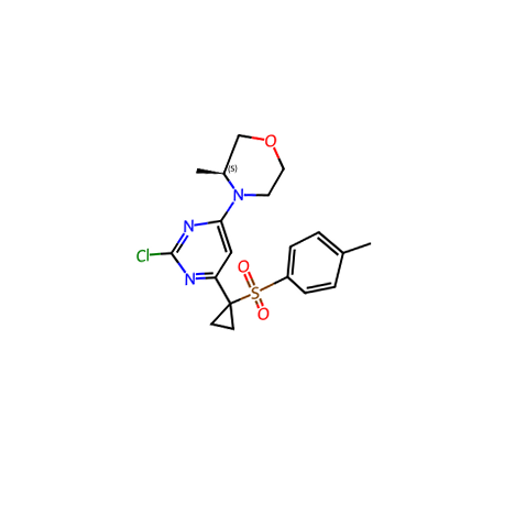 Cc1ccc(S(=O)(=O)C2(c3cc(N4CCOC[C@@H]4C)nc(Cl)n3)CC2)cc1